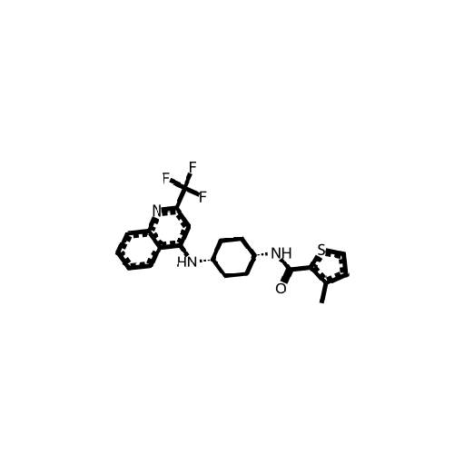 Cc1ccsc1C(=O)N[C@H]1CC[C@@H](Nc2cc(C(F)(F)F)nc3ccccc23)CC1